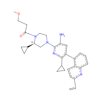 C=Cc1ccc2c(-c3cc(N)c(N4CCN(C(=O)CCOC)[C@H](C5CC5)C4)nc3C3CC3)cccc2n1